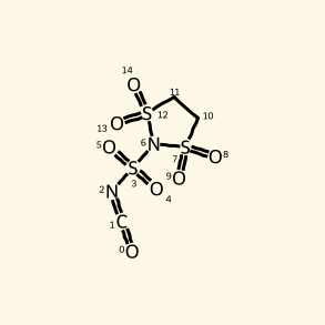 O=C=NS(=O)(=O)N1S(=O)(=O)CCS1(=O)=O